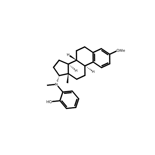 COc1ccc2c(c1)CC[C@@H]1[C@@H]2CC[C@@]2(C)[C@H]1CC[C@H]2N(C)c1ccccc1O